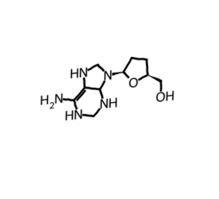 NC1=C2NCN([C@H]3CC[C@@H](CO)O3)C2NCN1